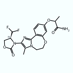 Cc1c(N2C(=O)OC[C@H]2C(F)F)nc2n1CCOc1cc(OC(C)C(N)=O)ccc1-2